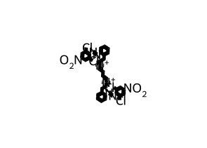 C[N+](C)(CCCC[N+](C)(C)CCc1ccccc1N=Nc1c(Cl)cc([N+](=O)[O-])cc1Cl)CCc1ccccc1N=Nc1c(Cl)cc([N+](=O)[O-])cc1Cl